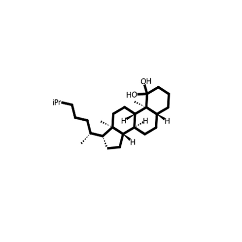 CC(C)CCC[C@@H](C)[C@H]1CC[C@H]2[C@@H]3CC[C@H]4CCCC(O)(O)[C@]4(C)[C@H]3CC[C@]12C